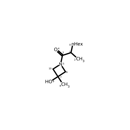 CCCCCCC(C)C(=O)N1CC(C)(O)C1